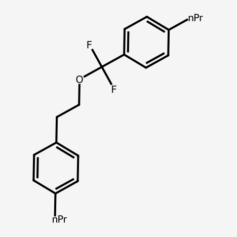 CCCc1ccc(CCOC(F)(F)c2ccc(CCC)cc2)cc1